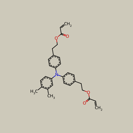 C=CC(=O)OCCc1ccc(N(c2ccc(CCOC(=O)C=C)cc2)c2ccc(C)c(C)c2)cc1